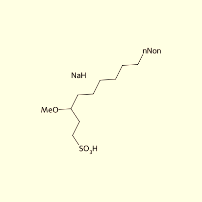 CCCCCCCCCCCCCCCC(CCS(=O)(=O)O)OC.[NaH]